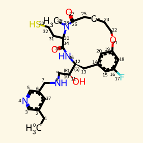 CCc1cncc(CNC[C@@H](O)[C@@H]2Cc3cc(F)cc(c3)OCCCCC(=O)N(C)C(CCS)C(=O)N2)c1